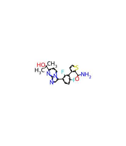 CC(C)(O)c1ccn2c(-c3ccc(F)c(-c4ccsc4C(N)=O)c3F)cnc2n1